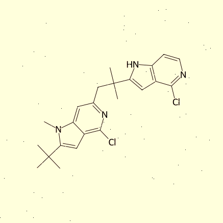 Cn1c(C(C)(C)C)cc2c(Cl)nc(CC(C)(C)c3cc4c(Cl)nccc4[nH]3)cc21